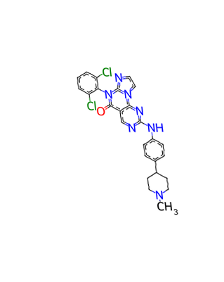 CN1CCC(c2ccc(Nc3ncc4c(=O)n(-c5c(Cl)cccc5Cl)c5nccn5c4n3)cc2)CC1